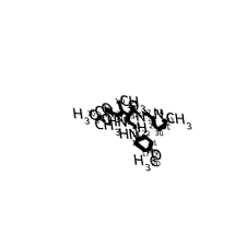 CCc1c(C(=O)OC(C)(C)C)[nH]c(CNc2ccc(OC)cc2)c1C(=O)NCc1cccc(C)n1